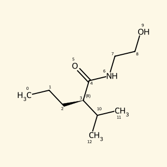 CCC[C@@H](C(=O)NCCO)C(C)C